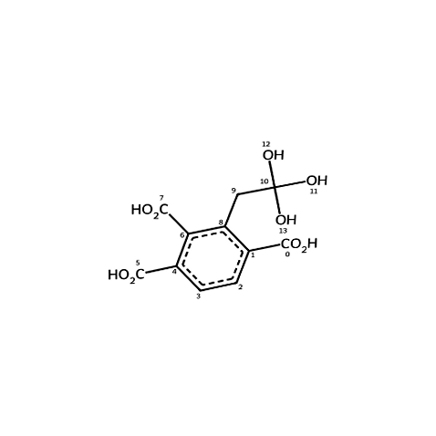 O=C(O)c1ccc(C(=O)O)c(C(=O)O)c1CC(O)(O)O